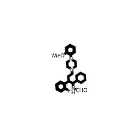 COc1ccccc1N1CCN(CCC(c2ccccc2F)C(NC=O)C2CCCCC2)CC1